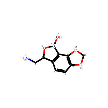 NCC1OB(O)c2c1ccc1c2OCO1